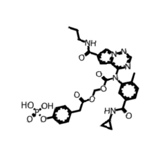 CCCNC(=O)c1cc2c(N(C(=O)OCOC(=O)Cc3ccc(OP(=O)(O)O)cc3)c3cc(C(=O)NC4CC4)ccc3C)ncnn2c1